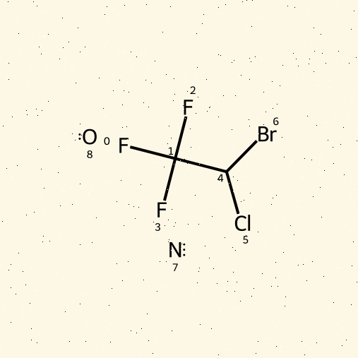 FC(F)(F)C(Cl)Br.[N].[O]